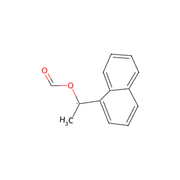 C[C](OC=O)c1cccc2ccccc12